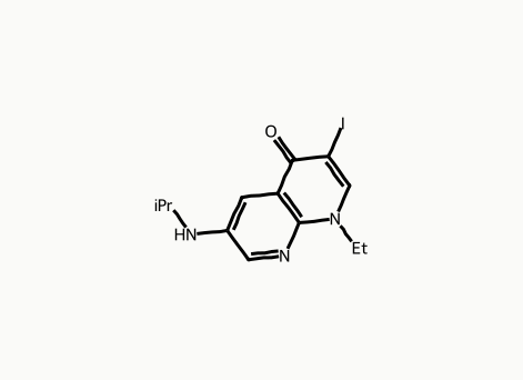 CCn1cc(I)c(=O)c2cc(NC(C)C)cnc21